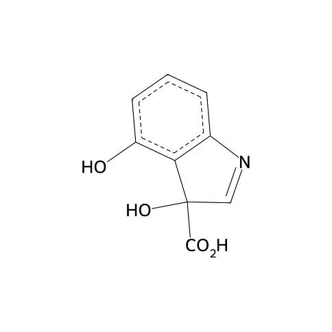 O=C(O)C1(O)C=Nc2cccc(O)c21